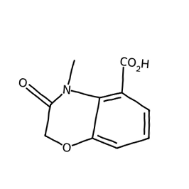 CN1C(=O)COc2cccc(C(=O)O)c21